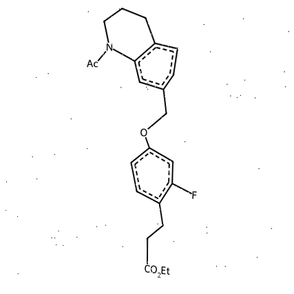 CCOC(=O)CCc1ccc(OCc2ccc3c(c2)N(C(C)=O)CCC3)cc1F